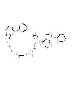 O=C1CCNC(=O)[C@@H]2C[C@@H](CN2c2ncnc3c2cnn3-c2ccc(F)cc2F)Oc2cccc(c2)-c2cccc3nn(cc23)CCN1